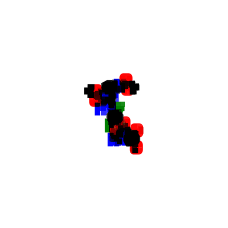 COc1ccc(CN(c2ncns2)S(=O)(=O)c2cc(F)c(NCC(CC3CCCC34CN(C(=O)OC(C)(C)C)C4)[C@@H](C)NC(=O)OC(C)(C)C)cc2F)c(OC)c1